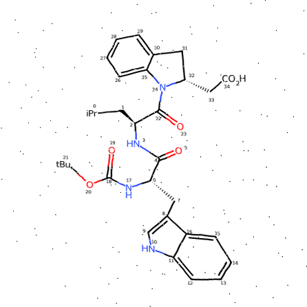 CC(C)C[C@H](NC(=O)[C@H](Cc1c[nH]c2ccccc12)NC(=O)OC(C)(C)C)C(=O)N1c2ccccc2C[C@@H]1CC(=O)O